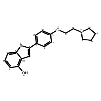 Oc1cccc2sc(-c3ccc(OCCN4CCCC4)cc3)cc12